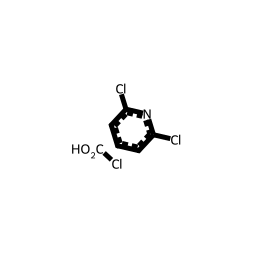 Clc1cccc(Cl)n1.O=C(O)Cl